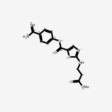 COC(=O)CCNc1ncc(C(=O)Oc2ccc(C(=N)N)cc2)s1